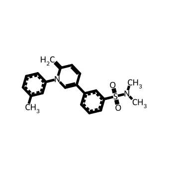 C=C1C=CC(c2cccc(S(=O)(=O)N(C)C)c2)=CN1c1cccc(C)c1